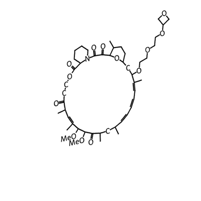 COC1C(=O)C(C)CC(C)C=CC=CC=C(C)C(OCCOCCOC2COC2)CC2CCC(C)C(O2)C(=O)C(=O)N2CCCCC2C(=O)OCCC(=O)C(C)C=C(C)C1OC